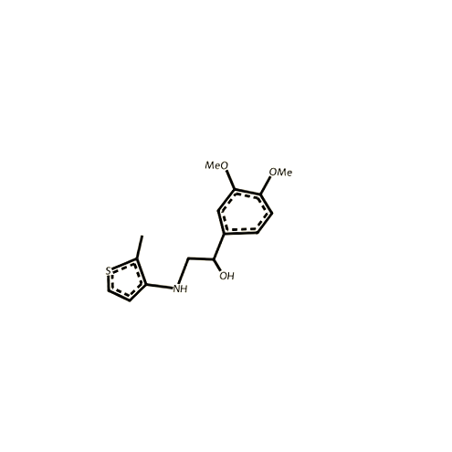 COc1ccc(C(O)CNc2ccsc2C)cc1OC